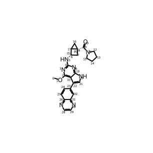 COc1nc(N[C@H]2C[C@]3(C(=O)N4CCCC4)CC23)nc2[nH]cc(-c3ccc4nccnc4c3)c12